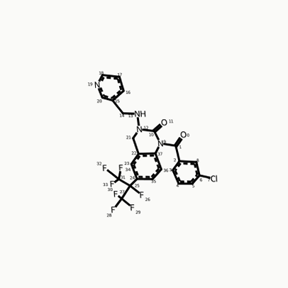 O=C(c1cccc(Cl)c1)N1C(=O)N(NCc2cccnc2)Cc2cc(C(F)(C(F)(F)F)C(F)(F)F)ccc21